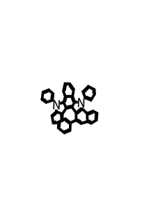 c1ccc(-c2cc3ccccc3c3c2c2c4c5ccccc5n(-c5ccccc5)c4c4ccccc4c2n3-c2ccccc2)cc1